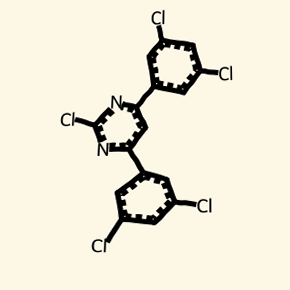 Clc1cc(Cl)cc(-c2cc(-c3cc(Cl)cc(Cl)c3)nc(Cl)n2)c1